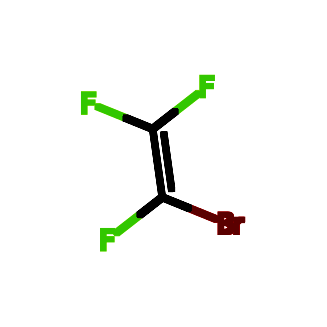 FC(F)=C(F)Br